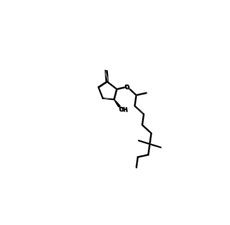 C=C1CC[C@H](O)C1OC(C)CCCCC(C)(C)CCC